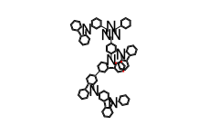 c1ccc(-c2nc(-c3cccc(-n4c5ccccc5c5ccccc54)c3)nc(-c3ccc(-n4c5ccccc5c5cc(-c6ccc7c8ccccc8n(-c8ccc9c(c8)c8ccccc8n9-c8ccccc8)c7c6)ccc54)c(-n4c5ccccc5c5ccccc54)c3)n2)cc1